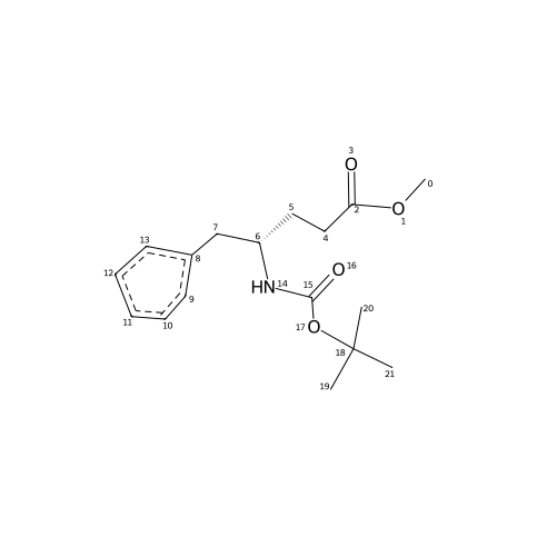 COC(=O)CC[C@@H](Cc1ccccc1)NC(=O)OC(C)(C)C